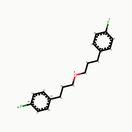 Fc1ccc(CCCOCCCc2ccc(F)cc2)cc1